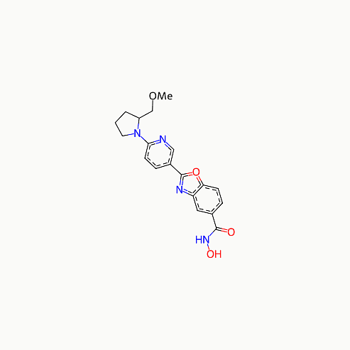 COCC1CCCN1c1ccc(-c2nc3cc(C(=O)NO)ccc3o2)cn1